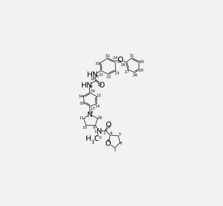 CN(C(=O)C1CCCO1)C1CCN(c2ccc(NC(=O)Nc3ccc(Oc4ccccc4)cc3)cc2)C1